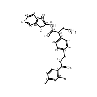 Cc1ccc(C(=O)OCc2ccc(C(CN)C(=O)Nc3nc4ccncc4s3)cc2)c(C)c1